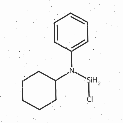 Cl[SiH2]N(c1ccccc1)C1CCCCC1